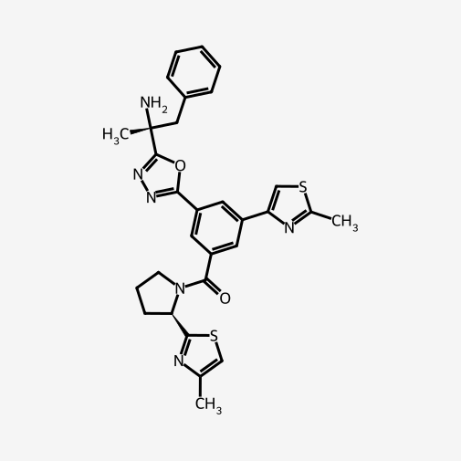 Cc1csc([C@H]2CCCN2C(=O)c2cc(-c3csc(C)n3)cc(-c3nnc([C@](C)(N)Cc4ccccc4)o3)c2)n1